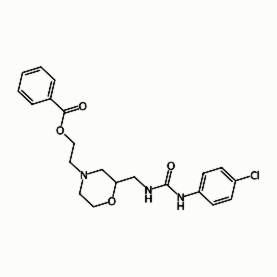 O=C(NCC1CN(CCOC(=O)c2ccccc2)CCO1)Nc1ccc(Cl)cc1